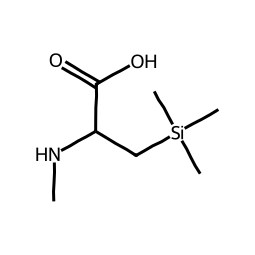 CNC(C[Si](C)(C)C)C(=O)O